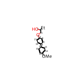 CCC(O)COc1ccc(-c2ccc(OC)cc2)cc1